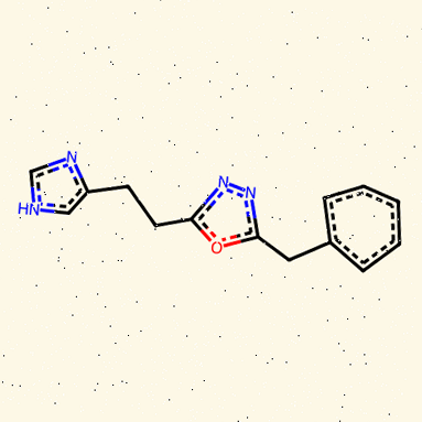 [CH](Cc1c[nH]cn1)c1nnc(Cc2ccccc2)o1